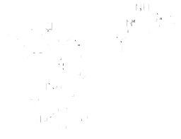 C[S+]([O-])CCC(NC(=O)OC(C)(C)C)C(=O)Nc1cn(CCCNc2ccc([N+](=O)[O-])c(N)n2)cc1-c1ccc(Cl)cc1Cl